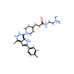 Cc1ccc(-c2cc3c(C)nnc(N4CCC(CCC(=O)NCCN(C)C)CC4)c3[nH]2)cc1